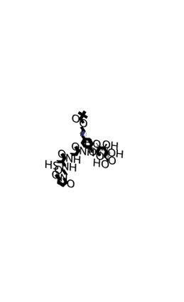 CC(C)(C)C(=O)OC/C=C/c1ccc(O[C@@H]2O[C@H](C(=O)O)[C@@H](O)[C@H](O)[C@H]2O)c(NC(=O)CCNC(=O)C(CS)NC(=O)CN2C(=O)C=CC2=O)c1